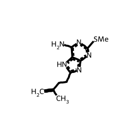 C=C(C)CCc1nc2nc(SC)nc(N)c2[nH]1